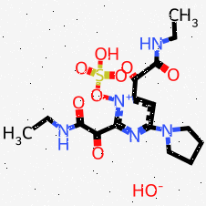 CCNC(=O)C(=O)c1cc(N2CCCC2)nc(C(=O)C(=O)NCC)[n+]1OS(=O)(=O)O.[OH-]